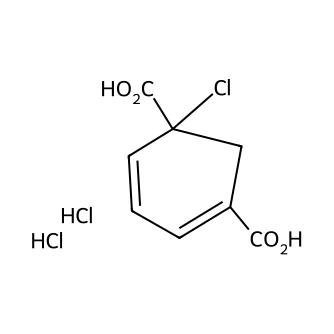 Cl.Cl.O=C(O)C1=CC=CC(Cl)(C(=O)O)C1